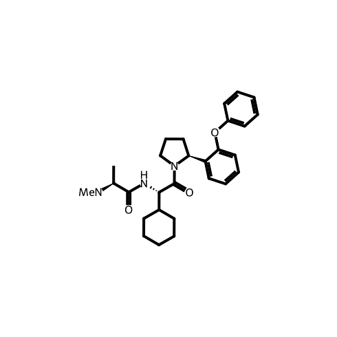 CN[C@@H](C)C(=O)N[C@H](C(=O)N1CCC[C@H]1c1ccccc1Oc1ccccc1)C1CCCCC1